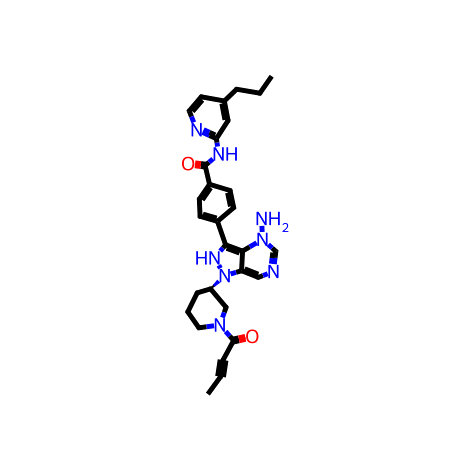 CC#CC(=O)N1CCC[C@@H](N2NC(c3ccc(C(=O)Nc4cc(CCC)ccn4)cc3)=C3C2=CN=CN3N)C1